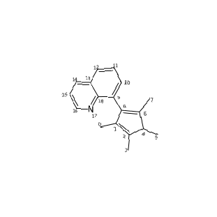 CC1=C(C)C(C)C(C)=C1c1cccc2cccnc12